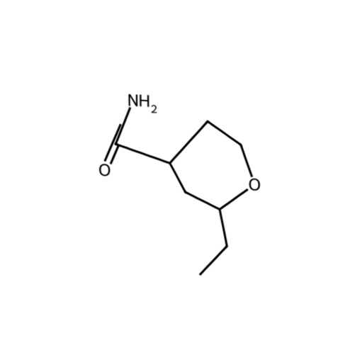 CCC1CC(C(N)=O)CCO1